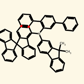 CC1(C)c2ccccc2-c2ccc(N(c3cc(-c4ccccc4)ccc3-c3ccccc3)c3cccc4c3-c3ccccc3C43c4ccccc4-c4ccccc43)cc21